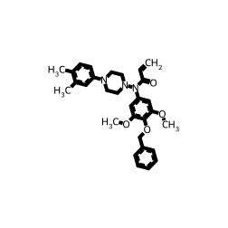 C=CC(=O)N(c1cc(OC)c(OCc2ccccc2)c(OC)c1)N1CCN(c2ccc(C)c(C)c2)CC1